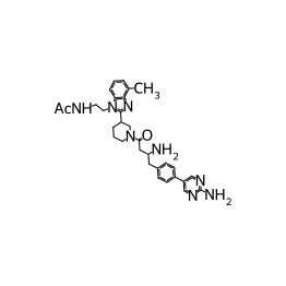 CC(=O)NCCn1c(C2CCCN(C(=O)CC(N)Cc3ccc(-c4cnc(N)nc4)cc3)C2)nc2c(C)cccc21